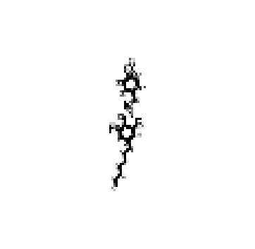 CCCCCCCc1cc(F)c(C=NN=Cc2ccc(OC)cc2)c(F)c1